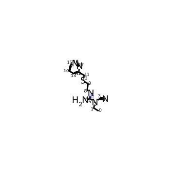 CCN(C#N)/C(N)=N/CCSCc1cccnn1